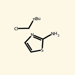 CCCCCCl.Nc1nccs1